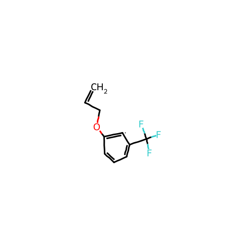 C=CCOc1[c]c(C(F)(F)F)ccc1